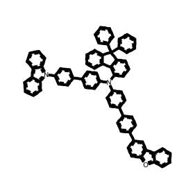 c1ccc(C2(c3ccccc3)c3ccccc3-c3c(N(c4ccc(-c5ccc(-c6ccc7oc8ccccc8c7c6)cc5)cc4)c4ccc(-c5ccc(-n6c7ccccc7c7ccccc76)cc5)cc4)cccc32)cc1